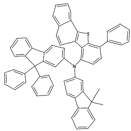 CC1(C)c2ccccc2-c2ccc(N(c3ccc4c(c3)C(c3ccccc3)(c3ccccc3)c3ccccc3-4)c3ccc(-c4ccccc4)c4sc5c6ccccc6ccc5c34)cc21